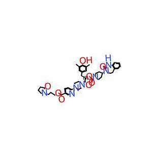 Cc1cc(C[C@@H](OC(=O)N2CCC(N3CCc4ccccc4NC3=O)CC2)C(=O)N2CCN(c3ccc(C(=O)OCCCN4CCCC4=O)cn3)CC2)cc(C)c1O